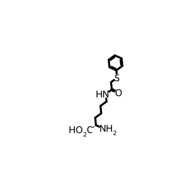 N[C@@H](CCCCNC(=O)CSc1ccccc1)C(=O)O